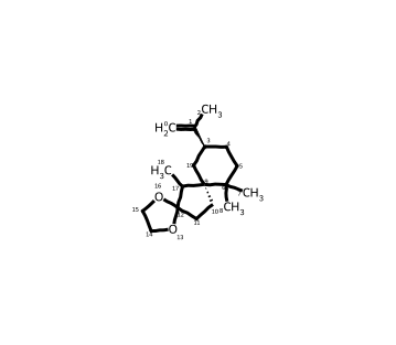 C=C(C)[C@H]1CCC(C)(C)[C@]2(CCC3(OCCO3)C2C)C1